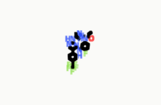 C=CC(=O)Nc1ccc(F)c(Nc2nc(Nc3cnn(C)c3)ncc2-c2ccc(C(F)(F)C(F)(F)F)cc2)c1